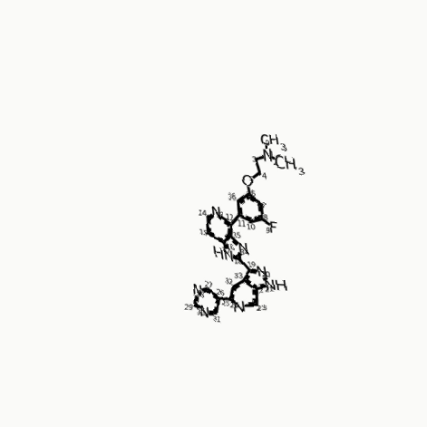 CN(C)CCOc1cc(F)cc(-c2nccc3[nH]c(-c4n[nH]c5cnc(-c6cncnc6)cc45)nc23)c1